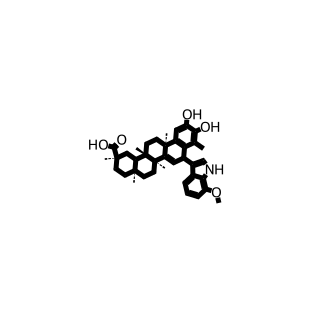 COc1cccc2c(C3C=C4[C@@](C)(CC[C@@]5(C)C6C[C@](C)(C(=O)O)CC[C@]6(C)CC[C@]45C)c4cc(O)c(O)c(C)c43)c[nH]c12